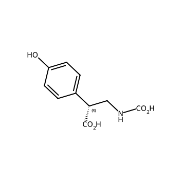 O=C(O)NC[C@H](C(=O)O)c1ccc(O)cc1